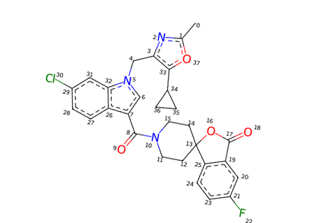 Cc1nc(Cn2cc(C(=O)N3CCC4(CC3)OC(=O)c3cc(F)ccc34)c3ccc(Cl)cc32)c(C2CC2)o1